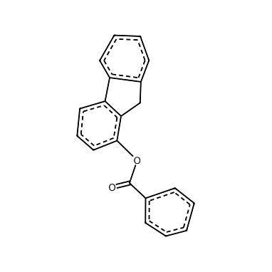 O=C(Oc1cccc2c1Cc1ccccc1-2)c1ccccc1